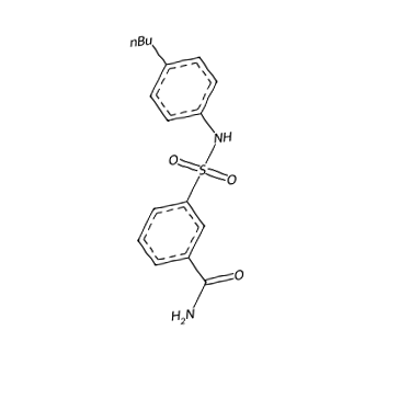 CCCCc1ccc(NS(=O)(=O)c2cccc(C(N)=O)c2)cc1